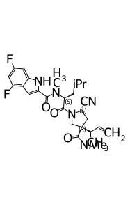 C=CC(C)[C@]1(C(=O)NC)C[C@@H](C#N)N(C(=O)[C@H](CC(C)C)N(C)C(=O)c2cc3c(F)cc(F)cc3[nH]2)C1